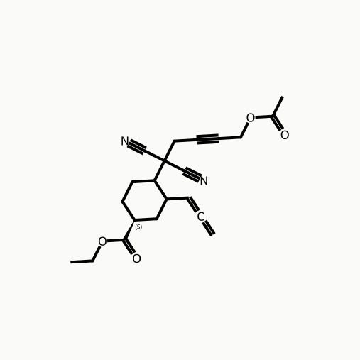 C=C=CC1C[C@@H](C(=O)OCC)CCC1C(C#N)(C#N)CC#CCOC(C)=O